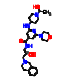 CC(O)N1CCC(Nc2cc(C(=O)NC[C@H](O)CN3CCc4ccccc4C3)cc(N3CCOCC3)n2)CC1